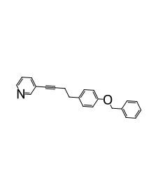 C(#Cc1cccnc1)CCc1ccc(OCc2ccccc2)cc1